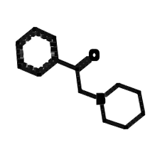 O=C(CB1CCCCC1)c1ccccc1